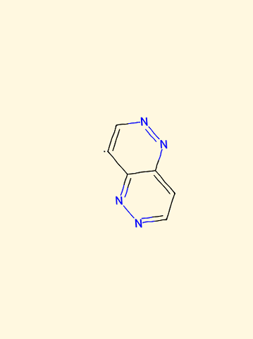 [c]1cnnc2ccnnc12